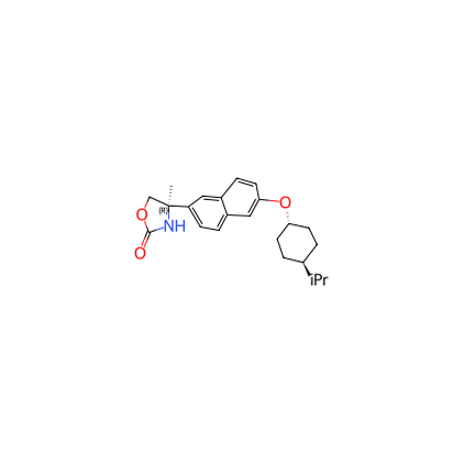 CC(C)[C@H]1CC[C@H](Oc2ccc3cc([C@]4(C)COC(=O)N4)ccc3c2)CC1